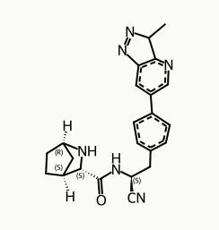 CC1N=Nc2cc(-c3ccc(C[C@@H](C#N)NC(=O)[C@H]4N[C@@H]5CC[C@H]4C5)cc3)cnc21